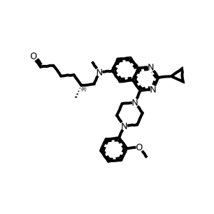 COc1ccccc1N1CCN(c2nc(C3CC3)nc3ccc(N(C)C[C@H](C)CCCC=O)cc23)CC1